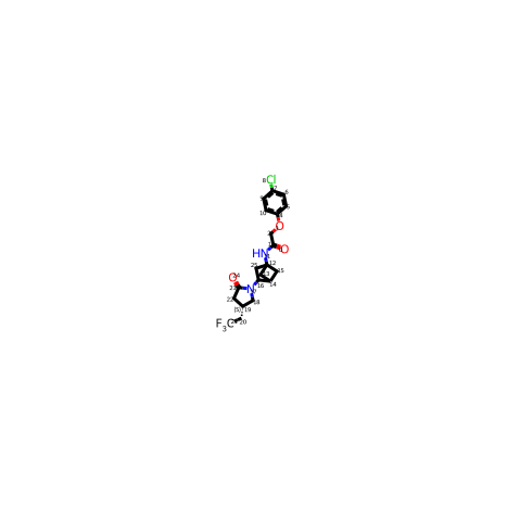 O=C(COc1ccc(Cl)cc1)NC12CC(C1)C(N1C[C@H](CC(F)(F)F)CC1=O)C2